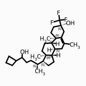 CC1=C2C[C@](O)(C(F)(F)F)CC[C@]2(C)[C@H]2CC[C@@]3(C)[C@@H](CC[C@H]3[C@@H](C)CCC(O)C3CCC3)[C@@H]2C1